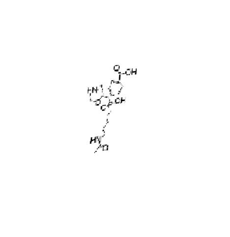 CC(=O)NCCCCCP(=O)(O)CC1OCCN[C@]1(C)c1cccc(C(=O)O)c1